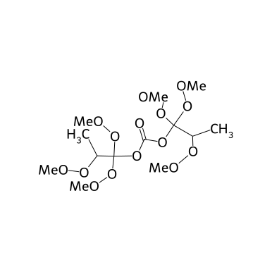 COOC(C)C(OOC)(OOC)OC(=O)OC(OOC)(OOC)C(C)OOC